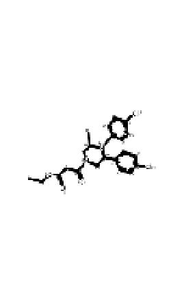 CCOC(=O)CC(=O)N1CC(C)N(c2ccc(Cl)cc2)C(c2ccc(Cl)cc2)C1